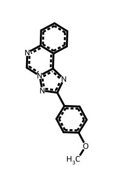 COc1ccc(-c2nc3c4ccccc4ncn3n2)cc1